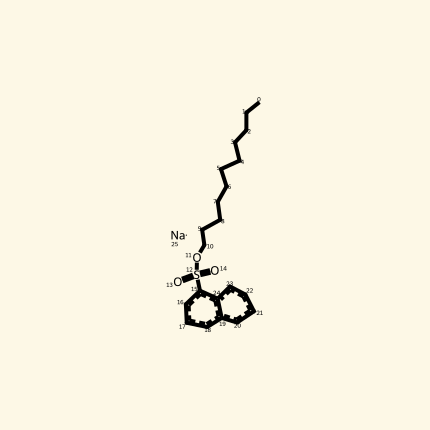 CCCCCCCCCCCOS(=O)(=O)c1cccc2ccccc12.[Na]